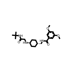 COc1cc(OC)cc(C(=O)NC[C@H]2CC[C@H](NCC(=O)NC(C)(C)C)CC2)c1